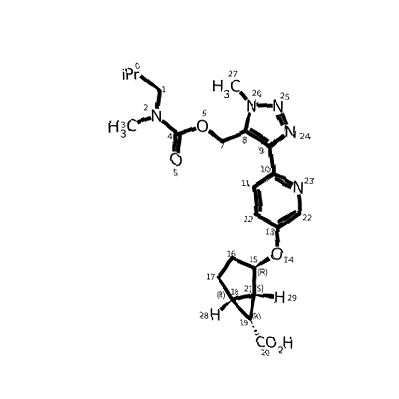 CC(C)CN(C)C(=O)OCc1c(-c2ccc(O[C@@H]3CC[C@H]4[C@@H](C(=O)O)[C@H]43)cn2)nnn1C